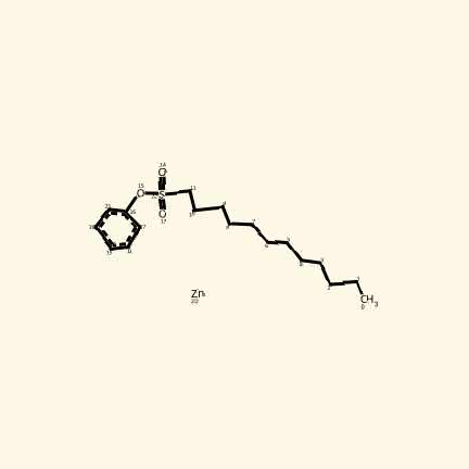 CCCCCCCCCCCCS(=O)(=O)Oc1ccccc1.[Zn]